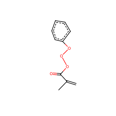 C=C(C)C(=O)OOOc1ccccc1